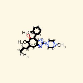 C=C1C(=O)C(c2ccccc2C)=C2N=C(N3CCN(C)CC3)N=C2C/C1=C/C=C\C